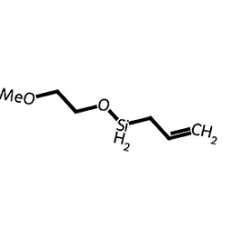 C=CC[SiH2]OCCOC